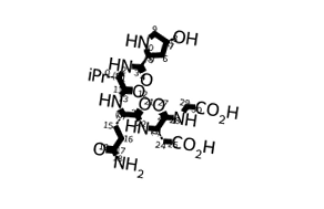 CC(C)[C@H](NC(=O)[C@@H]1C[C@@H](O)CN1)C(=O)N[C@@H](CCC(N)=O)C(=O)N[C@@H](CC(=O)O)C(=O)NCC(=O)O